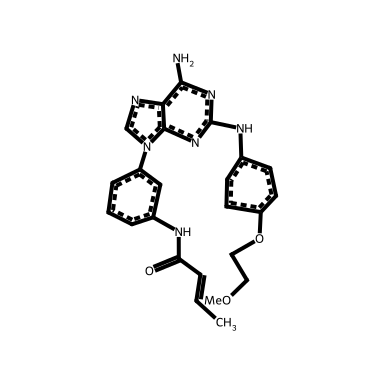 C/C=C/C(=O)Nc1cccc(-n2cnc3c(N)nc(Nc4ccc(OCCOC)cc4)nc32)c1